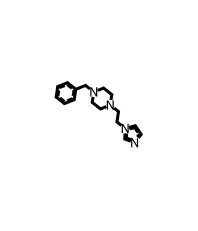 c1ccc(CN2CCN(CCn3ccnc3)CC2)cc1